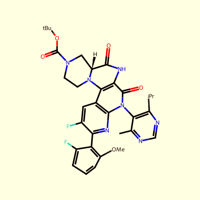 COc1cccc(F)c1-c1nc2c(cc1F)c1c(c(=O)n2-c2c(C)ncnc2C(C)C)NC(=O)[C@H]2CN(C(=O)OC(C)(C)C)CCN12